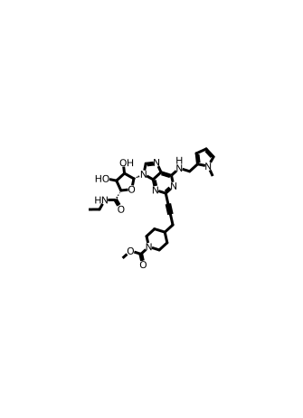 CCNC(=O)[C@H]1O[C@@H](n2cnc3c(NCc4cccn4C)nc(C#CCC4CCN(C(=O)OC)CC4)nc32)C(O)C1O